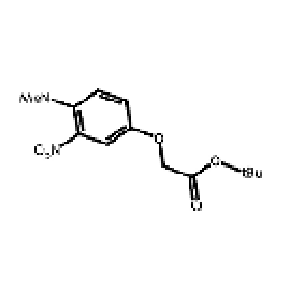 CNc1ccc(OCC(=O)OC(C)(C)C)cc1[N+](=O)[O-]